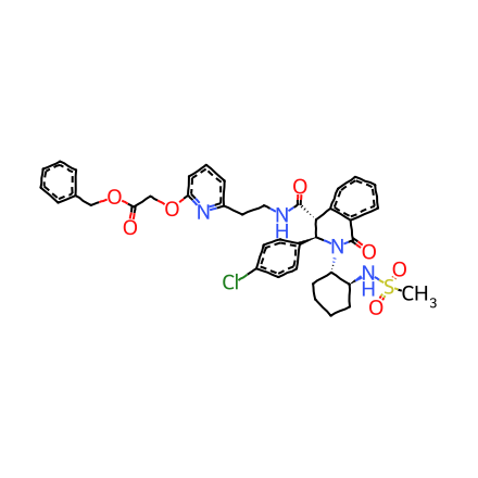 CS(=O)(=O)N[C@H]1CCCC[C@@H]1N1C(=O)c2ccccc2[C@@H](C(=O)NCCc2cccc(OCC(=O)OCc3ccccc3)n2)[C@@H]1c1ccc(Cl)cc1